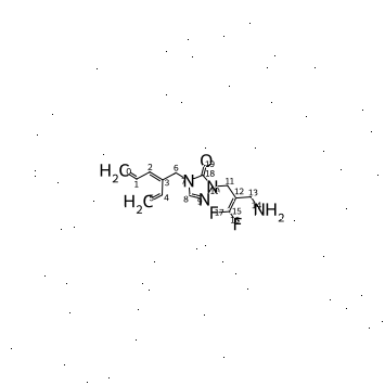 C=C/C=C(\C=C)Cn1cnn(CC(CN)=C(F)F)c1=O